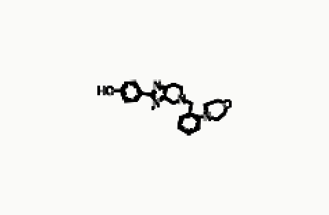 Cn1c(-c2ccc(O)cc2)nc2c1CN(Cc1ccccc1N1CCOCC1)CC2